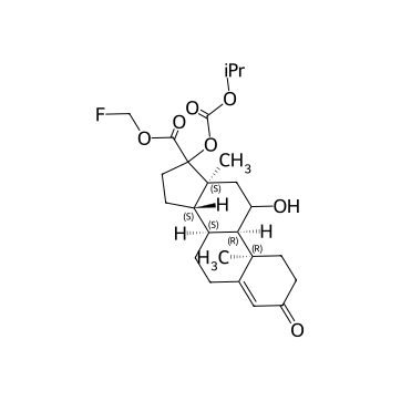 CC(C)OC(=O)OC1(C(=O)OCF)CC[C@H]2[C@@H]3CCC4=CC(=O)CC[C@]4(C)[C@@H]3C(O)C[C@@]21C